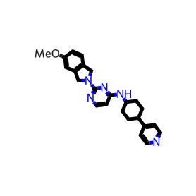 COc1ccc2c(c1)CN(c1nccc(NC3CCC(c4ccncc4)CC3)n1)C2